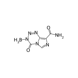 Bn1nnc2c(C(N)=O)ncn2c1=O